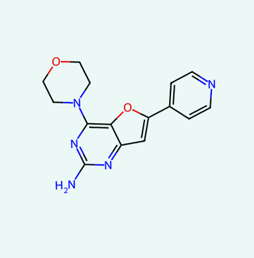 Nc1nc(N2CCOCC2)c2oc(-c3ccncc3)cc2n1